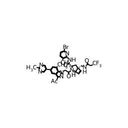 CC(=O)c1nn(CC(=O)N2[C@H](C(=O)Nc3nc(Br)ccc3C)C[C@@]3(CNC(=O)CC(F)(F)F)C=C[C@@H]23)c2c(C)cc(-c3cnc(C)nc3)cc12